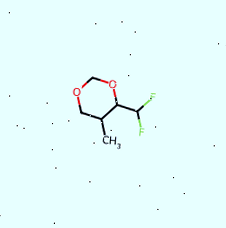 CC1COCOC1C(F)F